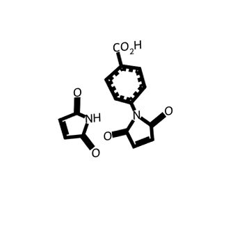 O=C(O)c1ccc(N2C(=O)C=CC2=O)cc1.O=C1C=CC(=O)N1